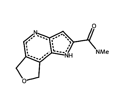 CNC(=O)c1cc2ncc3c(c2[nH]1)COC3